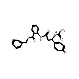 BC(=O)NC(CC(=O)Nc1ccccc1C(=O)OCc1ccccc1)c1ccc(Br)cc1